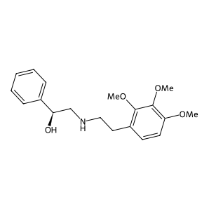 COc1ccc(CCNC[C@@H](O)c2ccccc2)c(OC)c1OC